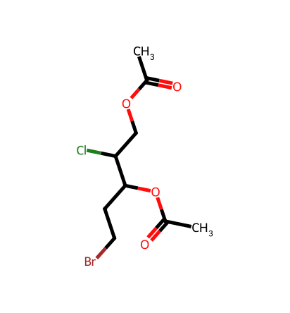 CC(=O)OCC(Cl)C(CCBr)OC(C)=O